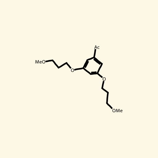 COCCCOc1cc(OCCCOC)cc(C(C)=O)c1